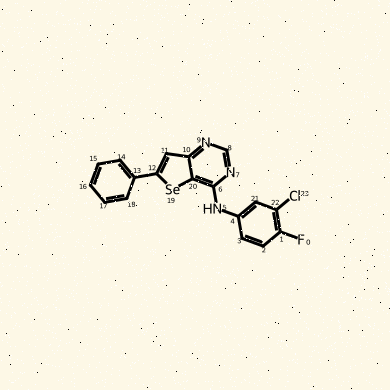 Fc1ccc(Nc2ncnc3cc(-c4ccccc4)[se]c23)cc1Cl